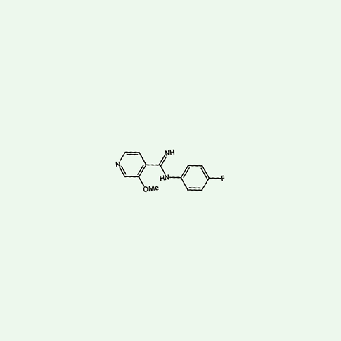 COc1cnccc1C(=N)Nc1ccc(F)cc1